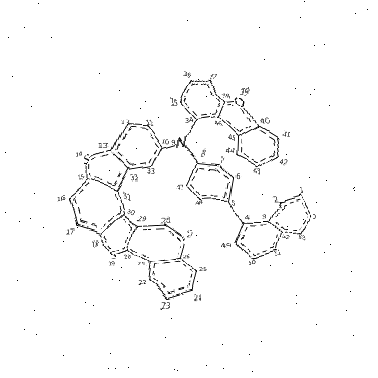 c1ccc2c(-c3ccc(N(c4ccc5sc6ccc7sc8c9ccccc9ccc8c7c6c5c4)c4cccc5oc6ccccc6c45)cc3)cccc2c1